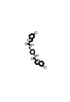 O=C(N[C@H]1CC[C@H](CNC(=O)c2cc3cc(Cl)ccc3o2)CC1)c1ccc2cc(Cl)ccc2n1